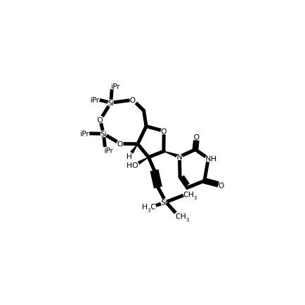 CC(C)[Si]1(C(C)C)OCC2O[C@@H](n3ccc(=O)[nH]c3=O)[C@](O)(C#C[Si](C)(C)C)[C@@H]2O[Si](C(C)C)(C(C)C)O1